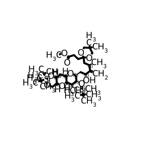 C=C([C@H](C)CC1(CCC(=O)OC)OCC(C)(C)CO1)[C@H](O)C[C@@H]1O[C@H]2C[C@H]3O[Si](C(C)(C)C)(C(C)(C)C)OC[C@H]3O[C@H]2[C@H](C)[C@H]1O[Si](C)(C)C(C)(C)C